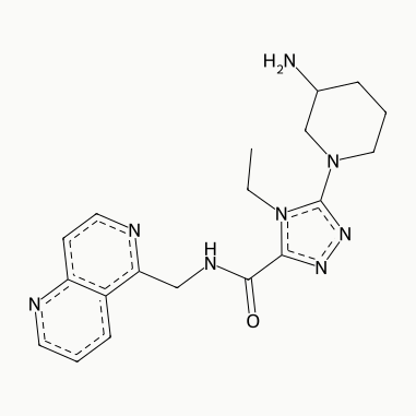 CCn1c(C(=O)NCc2nccc3ncccc23)nnc1N1CCCC(N)C1